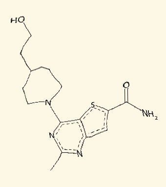 Cc1nc(N2CCC(CCO)CC2)c2sc(C(N)=O)cc2n1